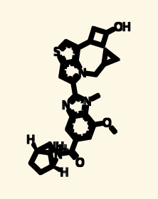 COc1cc(C(=O)N2C[C@H]3CC[C@@H]2[C@@H]3N)cc2nc(-c3cc4scc(C5CC(O)C5)c4n3CC3CC3)n(C)c12